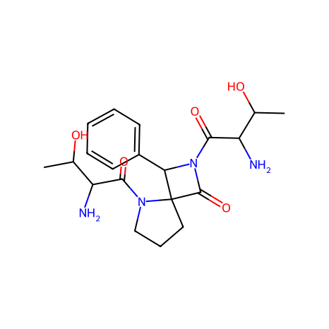 CC(O)C(N)C(=O)N1C(=O)C2(CCCN2C(=O)C(N)C(C)O)C1c1ccccc1